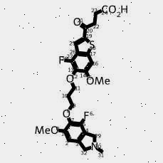 COc1cc2c(c(F)c1OCCCOc1c(OC)cc3sc(C(=O)CCC(=O)O)cc3c1F)CN(C)C2